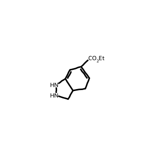 CCOC(=O)C1=CCC2CNNC2=C1